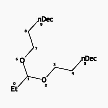 [CH2]CC(OCCCCCCCCCCCC)OCCCCCCCCCCCC